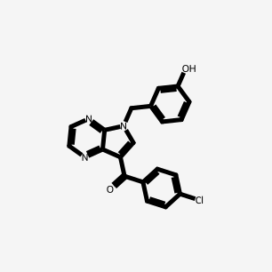 O=C(c1ccc(Cl)cc1)c1cn(Cc2cccc(O)c2)c2nccnc12